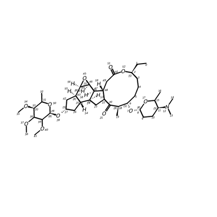 CC[C@H]1CCC[C@H](O[C@H]2CC[C@H](N(C)C)C(C)O2)[C@@H](C)C(=O)C2C[C@H]3[C@@H]4C[C@H](O[C@@H]5OC(C)[C@H](OC)C(OC)C5OC)C[C@H]4[C@H]4O[C@H]4[C@H]3[C@@H]2CC(=O)O1